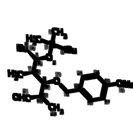 CC[C@H](C)[C@@H](O[Si](C)(C)C(C)(C)C)[C@H](C)[C@@H](OCc1ccc(OC)cc1)[C@@H](C)C=O